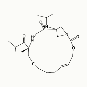 CC(C)NC12CN(C1)C(=O)OC/C=C/CCCCC[C@](C)(C(=O)C(C)C)NCC2=O